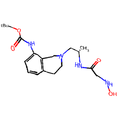 C[C@@H](CN1CCc2cccc(NC(=O)OC(C)(C)C)c2C1)NC(=O)CNO